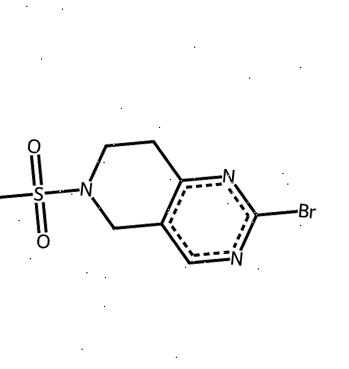 CS(=O)(=O)N1CCc2nc(Br)ncc2C1